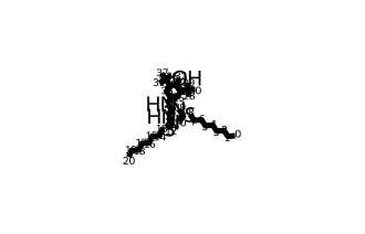 CCCCCCCCSC1=CN(SCCCCCCCC)NC(Nc2cc(C(C)(C)C)c(O)c(C(C)(C)C)c2)=N1